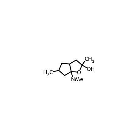 CNC12CC(C)CC1CC(C)(O)O2